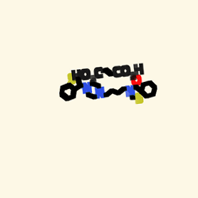 O=C(O)C=CC(=O)O.O=C1N(CCCCN2CCN(c3csc4ccccc34)CC2)CSC12CCCCC2